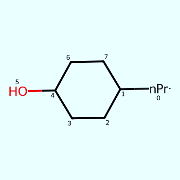 CC[CH]C1CCC(O)CC1